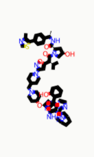 Cc1ncsc1-c1ccc([C@H](C)NC(=O)[C@@H]2C[C@@H](O)CN2C(=O)[C@@H](c2cc(N3CCC(CN4CCC(O[C@H]5C[C@H](n6ccnc6CN6C7CCC6CN(c6cc(-c8ccccc8O)nnc6N)C7)C5)CC4)CC3)no2)C(C)C)cc1